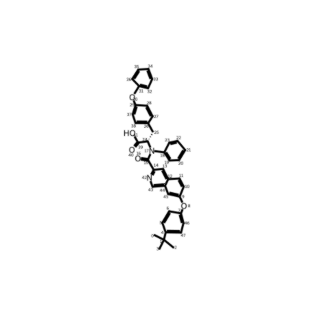 CC(C)(C)c1ccc(Oc2ccc3cc(C(=O)N(c4ccccc4)[C@@H](Cc4ccc(Oc5ccccc5)cc4)C(=O)O)ncc3c2)cc1